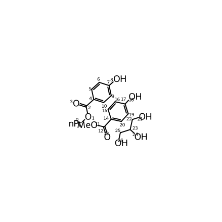 CCCOC(=O)c1ccc(O)cc1.COC(=O)c1ccc(O)cc1.OCC(O)CO